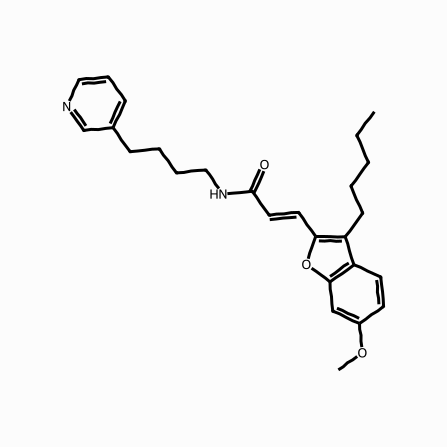 CCCCCc1c(C=CC(=O)NCCCCc2cccnc2)oc2cc(OC)ccc12